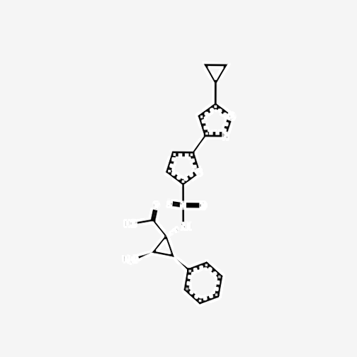 C[C@@H]1[C@H](c2ccccc2)[C@]1(NS(=O)(=O)c1ccc(-c2cc(C3CC3)on2)s1)C(=O)O